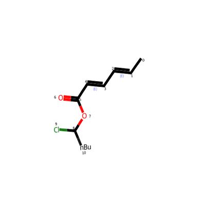 C/C=C/C=C/C(=O)OC(Cl)CCCC